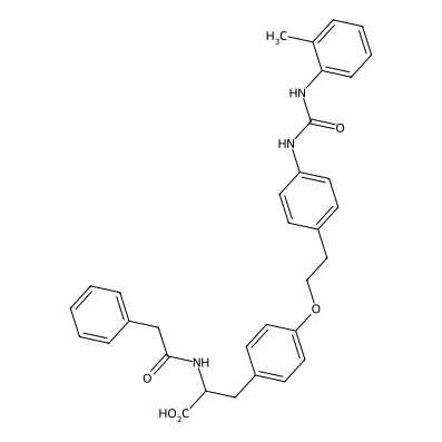 Cc1ccccc1NC(=O)Nc1ccc(CCOc2ccc(CC(NC(=O)Cc3ccccc3)C(=O)O)cc2)cc1